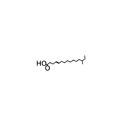 CCC(C)CCCCCCCC=CCCC(=O)O